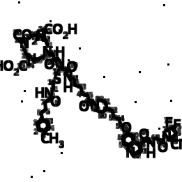 Cc1ccc(CCCC(=O)NCCSC[C@H](NC(=O)CN2CCN(CC(=O)O)CCN(CC(=O)O)CCN(CC(=O)O)CC2)C(=O)NCCCCCC(=O)N2CCC(CCCCOc3ccc4nccc(C(=O)NCC(=O)N5CC(F)(F)C[C@@H]5C#N)c4c3)CC2)cc1